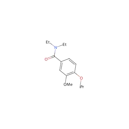 CCN(CC)C(=O)c1ccc(OC(C)C)c(OC)c1